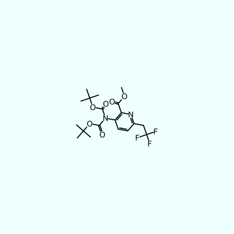 COC(=O)c1nc(CC(F)(F)F)ccc1N(C(=O)OC(C)(C)C)C(=O)OC(C)(C)C